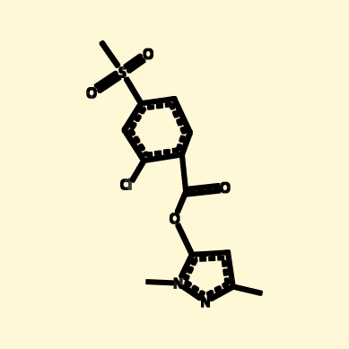 Cc1cc(OC(=O)c2ccc(S(C)(=O)=O)cc2Cl)n(C)n1